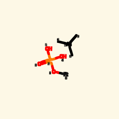 CCOP(=O)(O)O.C[As](C)C